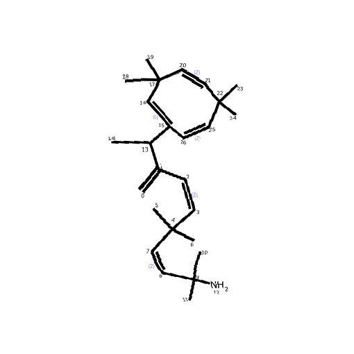 C=C(/C=C\C(C)(C)/C=C\C(C)(C)N)C(C)C1=C/C(C)(C)/C=C\C(C)(C)/C=C\1